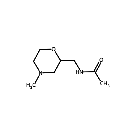 CC(=O)NCC1CN(C)CCO1